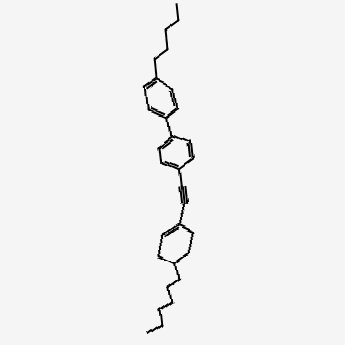 CCCCCCC1CC=C(C#Cc2ccc(-c3ccc(CCCCC)cc3)cc2)CC1